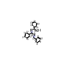 N=C(/N=C(\N=C\c1ccccc1)c1ccccc1)C1C=CC=CC1